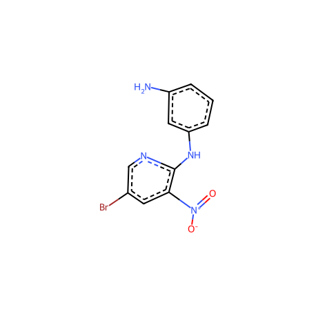 Nc1cccc(Nc2ncc(Br)cc2[N+](=O)[O-])c1